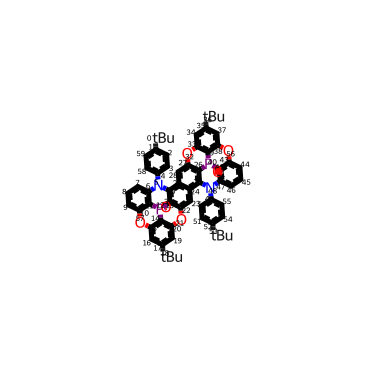 CC(C)(C)c1ccc(N2c3cccc4c3P3(=O)c5c(cc(C(C)(C)C)cc5Oc5cc6c7c8c(cc6c2c53)Oc2cc(C(C)(C)C)cc3c2P8(=O)c2c(cccc2N7c2ccc(C(C)(C)C)cc2)O3)O4)cc1